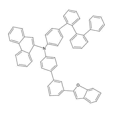 c1ccc(-c2ccccc2-c2ccccc2-c2ccc(N(c3ccc(-c4cccc(-c5cc6ccccc6o5)c4)cc3)c3cc4ccccc4c4ccccc34)cc2)cc1